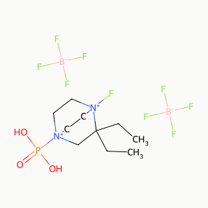 CCC1(CC)C[N+]2(P(=O)(O)O)CC[N+]1(F)CC2.F[B-](F)(F)F.F[B-](F)(F)F